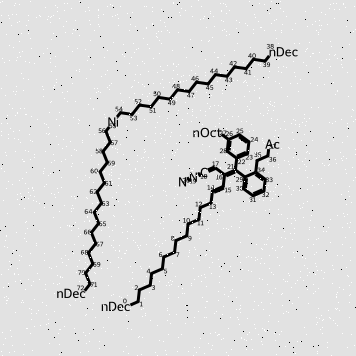 CCCCCCCCCCCCCCCCCCCCCCCC=CC(C=C=[N+]=[N-])=C(c1cccc(CCCCCCCC)c1)c1ccccc1CCC(C)=O.CCCCCCCCCCCCCCCCCCCCCCCCC[CH2][Ni][CH2]CCCCCCCCCCCCCCCCCCCCCCCCC